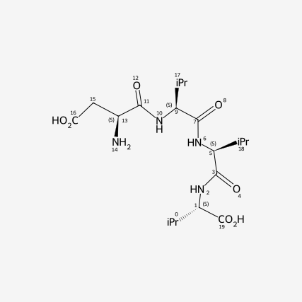 CC(C)[C@H](NC(=O)[C@@H](NC(=O)[C@@H](NC(=O)[C@@H](N)CC(=O)O)C(C)C)C(C)C)C(=O)O